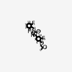 CC(=O)COc1ccc(-n2ncn(Cc3c(F)cccc3F)c2=O)cc1F